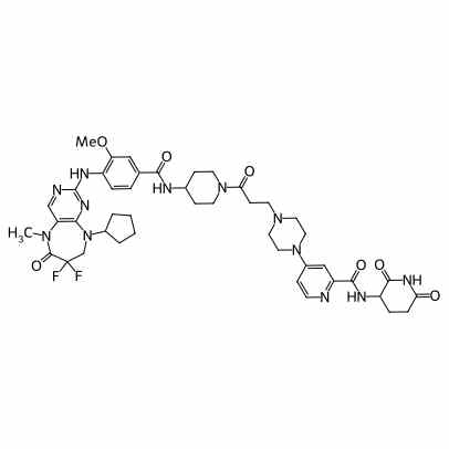 COc1cc(C(=O)NC2CCN(C(=O)CCN3CCN(c4ccnc(C(=O)NC5CCC(=O)NC5=O)c4)CC3)CC2)ccc1Nc1ncc2c(n1)N(C1CCCC1)CC(F)(F)C(=O)N2C